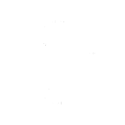 CCCCCCCC(C)(C)CN1CCc2ccc(OC(C)(C)C(=O)O)cc2C1c1cc(C)c(O)c(C)c1C